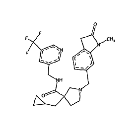 CN1C(=O)Cc2ccc(CN3CCC(CC4CC4)(C(=O)NCc4cncc(C(F)(F)F)c4)C3)cc21